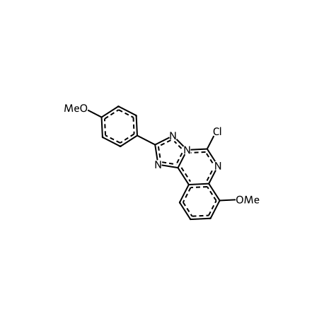 COc1ccc(-c2nc3c4cccc(OC)c4nc(Cl)n3n2)cc1